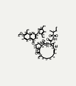 CCC(C)S(=O)(=O)NC(=O)[C@@]12C[C@H]1/C=C\CCCCN(C)C(=O)[C@@H]1C[C@H](Oc3cc(-n4nc(C)cc4C)nc4c(C)c(OC)ccc34)C[C@H]1C(=O)N2